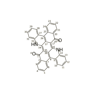 O=c1c2ccccc2c2c3ccccc3[nH]c3c4c(=O)c5ccccc5c5c6ccccc6[nH]c(c1c32)c45